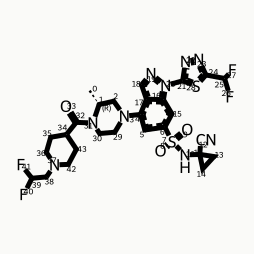 C[C@@H]1CN(c2cc(S(=O)(=O)NC3(C#N)CC3)cc3c2cnn3-c2nnc(C(F)F)s2)CCN1C(=O)C1CCN(CC(F)F)CC1